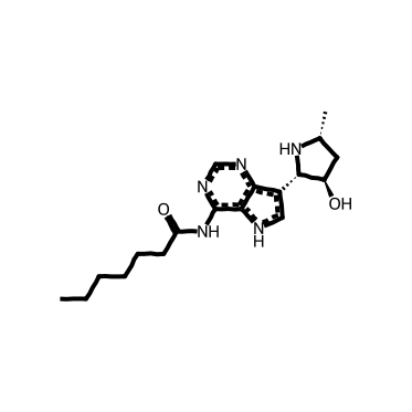 CCCCCCC(=O)Nc1ncnc2c([C@@H]3N[C@H](C)C[C@H]3O)c[nH]c12